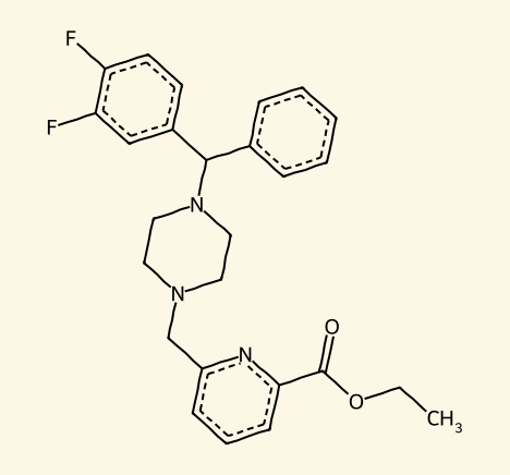 CCOC(=O)c1cccc(CN2CCN(C(c3ccccc3)c3ccc(F)c(F)c3)CC2)n1